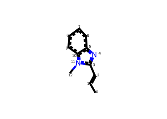 C/C=C/c1nc2ccccc2n1C